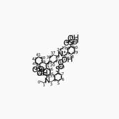 CCN(Cc1cccc(SOOO)c1)c1ccc(C(=C2C=CC(=[N+](CC)Cc3cccc(S(=O)(=O)O)c3)C=C2)c2ccccc2S(=O)(=O)O)cc1